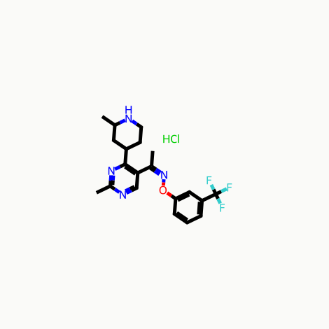 CC(=NOc1cccc(C(F)(F)F)c1)c1cnc(C)nc1C1CCNC(C)C1.Cl